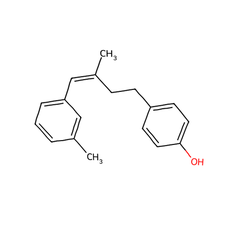 CC(=Cc1cccc(C)c1)CCc1ccc(O)cc1